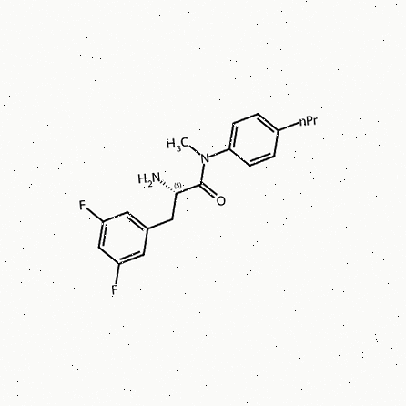 CCCc1ccc(N(C)C(=O)[C@@H](N)Cc2cc(F)cc(F)c2)cc1